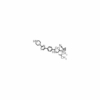 CC(C)C[C@H](NC(=O)c1ccc(-c2csc(N3CCNCC3)n2)cc1)C(=O)NC1(C#N)CC1